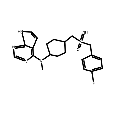 CN(c1ncnc2[nH]ccc12)C1CCC(CS(=N)(=O)Cc2ccc(F)cc2)CC1